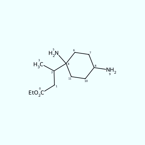 CCOC(=O)CC(C)C1(N)CCC(N)CC1